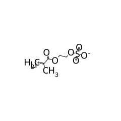 C=C(C)C(=O)OCCOS(=O)(=O)[O-].[Li+]